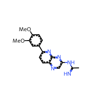 COc1ccc(-c2ccc3ncc(NC(C)=N)nc3n2)cc1OC